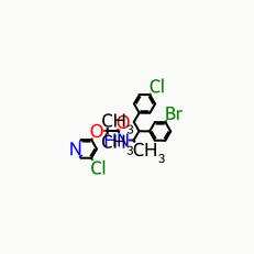 CC(NC(=O)C(C)(C)Oc1cncc(Cl)c1)C(Cc1ccc(Cl)cc1)c1cccc(Br)c1